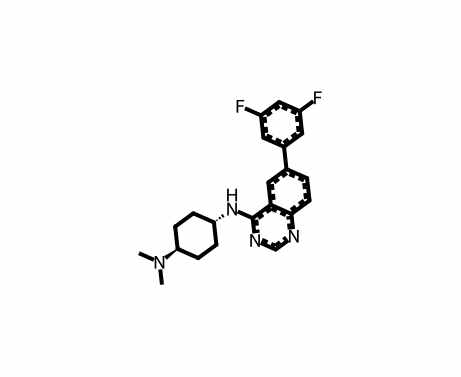 CN(C)[C@H]1CC[C@H](Nc2ncnc3ccc(-c4cc(F)cc(F)c4)cc23)CC1